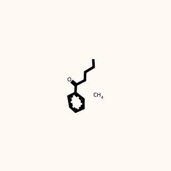 C.CCCCC(=O)c1ccccc1